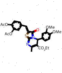 CCOC(=O)C1=C(C)N=c2s/c(=C\c3ccc(OC(C)=O)c(OC(C)=O)c3)c(=O)n2C1c1ccc(OC)c(OC)c1